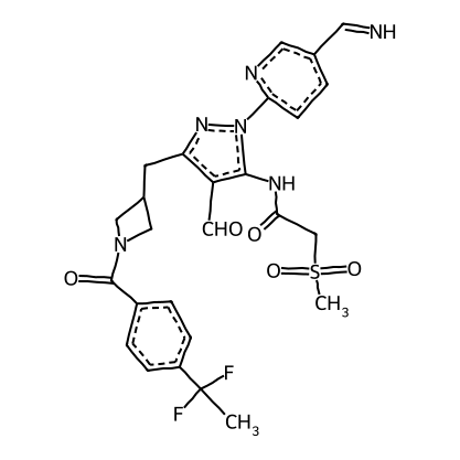 CC(F)(F)c1ccc(C(=O)N2CC(Cc3nn(-c4ccc(C=N)cn4)c(NC(=O)CS(C)(=O)=O)c3C=O)C2)cc1